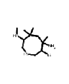 CCC1CNCC(PC)C(C)(C)CC1(C)N